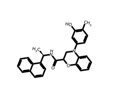 Cc1ccc(N2CC(C(=O)N[C@H](C)c3cccc4ccccc34)Oc3ccccc32)cc1O